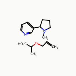 C=CCOC(C)C(=O)O.CN1CCCC1c1cccnc1